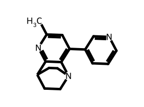 Cc1cc(-c2cccnc2)c2c(n1)C1CCN2CC1